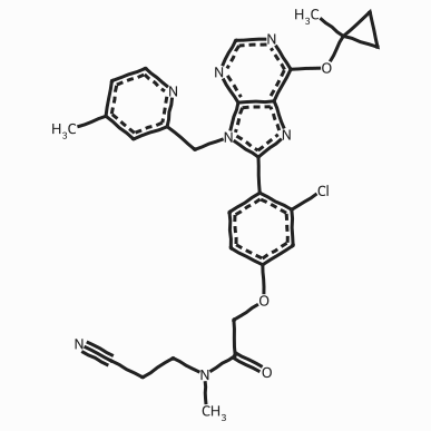 Cc1ccnc(Cn2c(-c3ccc(OCC(=O)N(C)CCC#N)cc3Cl)nc3c(OC4(C)CC4)ncnc32)c1